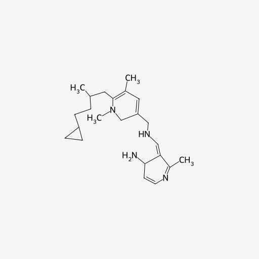 CC1=NC=CC(N)/C1=C\NCC1=CC(C)=C(CC(C)CCC2CC2)N(C)C1